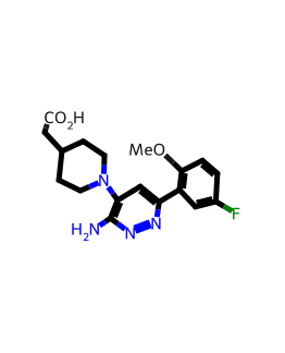 COc1ccc(F)cc1-c1cc(N2CCC(CC(=O)O)CC2)c(N)nn1